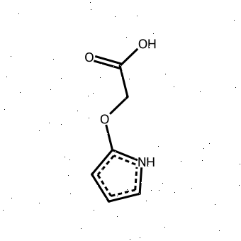 O=C(O)COc1ccc[nH]1